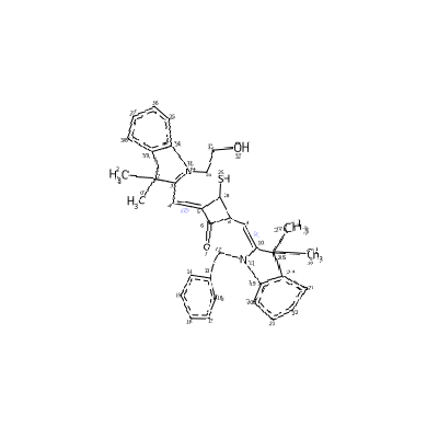 CC1(C)C(/C=C2/C(=O)C(/C=C3\N(Cc4ccccc4)c4ccccc4C3(C)C)C2S)=[N+](CCO)c2ccccc21